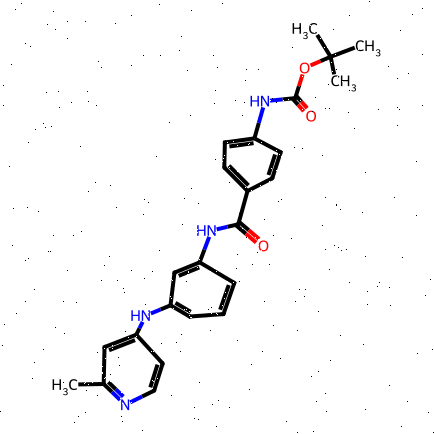 Cc1cc(Nc2cccc(NC(=O)c3ccc(NC(=O)OC(C)(C)C)cc3)c2)ccn1